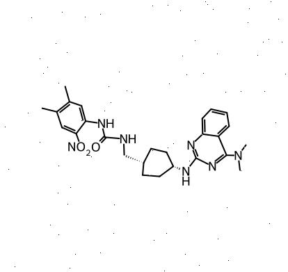 Cc1cc(NC(=O)NC[C@H]2CC[C@@H](Nc3nc(N(C)C)c4ccccc4n3)CC2)c([N+](=O)[O-])cc1C